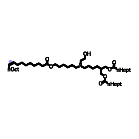 CCCCCCCC/C=C\CCCCCCCC(=O)OCCCCCCN(CCO)CCCCC(COC(=O)CCCCCCC)COC(=O)CCCCCCC